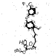 CC(C)(C)OC(=O)N[C@](C)(CCCc1ccc(Sc2cccc(C(F)(F)F)c2)cc1F)C(=O)O